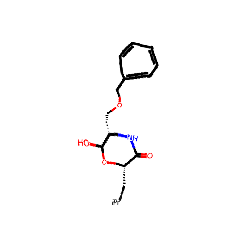 CC(C)C[C@@H]1OC(O)[C@H](COCc2ccccc2)NC1=O